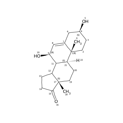 C[C@]12CC[C@H](O)CC1=C[C@H](O)C1C3CCC(=O)[C@@]3(C)CC[C@@H]12